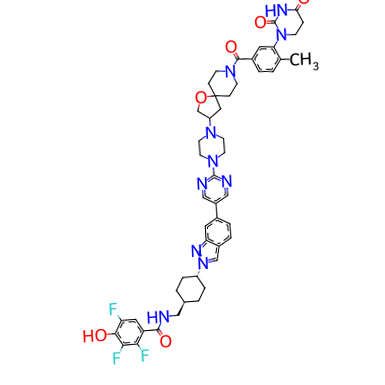 Cc1ccc(C(=O)N2CCC3(CC2)CC(N2CCN(c4ncc(-c5ccc6cn([C@H]7CC[C@H](CNC(=O)c8cc(F)c(O)c(F)c8F)CC7)nc6c5)cn4)CC2)CO3)cc1N1CCC(=O)NC1=O